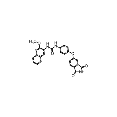 COc1nc2ccccc2cc1NC(=O)Nc1ccc(Oc2ccc3c(c2)C(=O)NC3=O)cc1